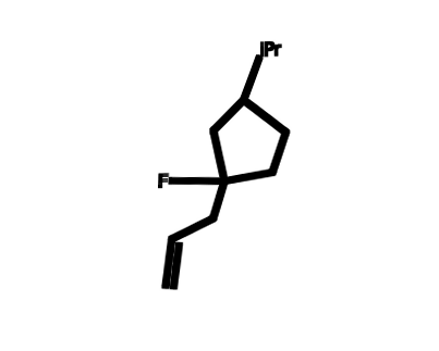 C=CCC1(F)CCC(C(C)C)C1